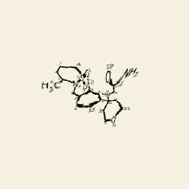 C[C@H]1CCCS(=O)(=O)N1Cc1ccc(C2(NCC(N)=O)CCOCC2)cc1F